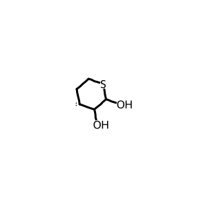 OC1[C]CCSC1O